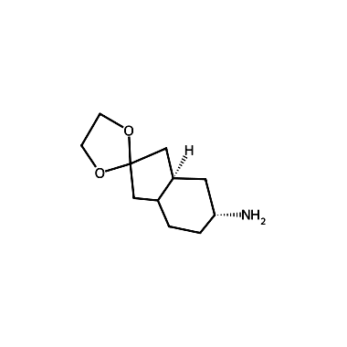 N[C@@H]1CCC2CC3(C[C@H]2C1)OCCO3